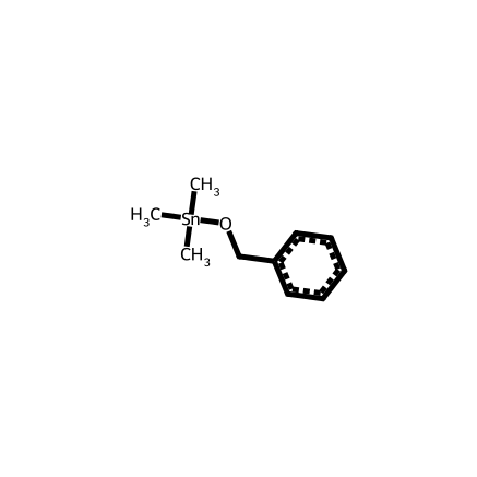 [CH3][Sn]([CH3])([CH3])[O]Cc1ccccc1